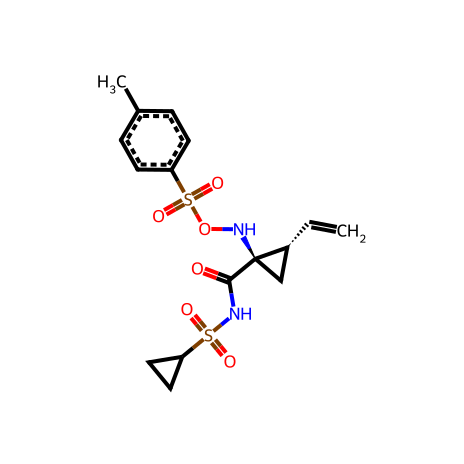 C=C[C@@H]1C[C@]1(NOS(=O)(=O)c1ccc(C)cc1)C(=O)NS(=O)(=O)C1CC1